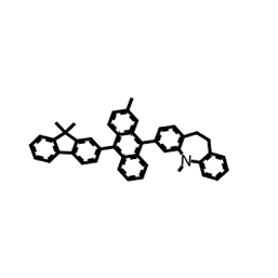 Cc1ccc2c(-c3ccc4c(c3)C(C)(C)c3ccccc3-4)c3ccccc3c(-c3ccc4c(c3)N(C)c3ccccc3CC4)c2c1